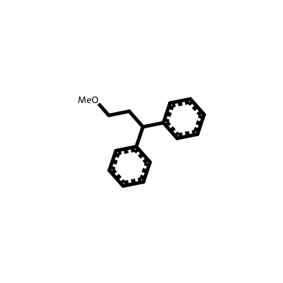 COCCC(c1ccccc1)c1ccccc1